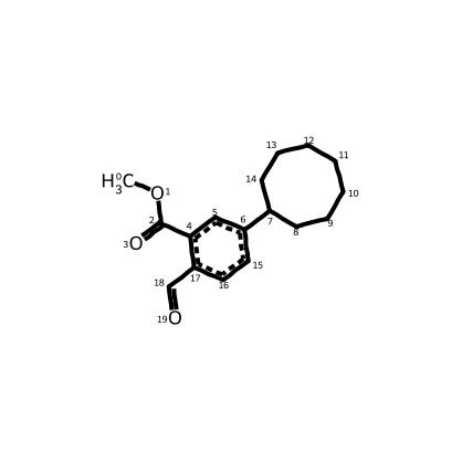 COC(=O)c1cc(C2CCCCCCC2)ccc1C=O